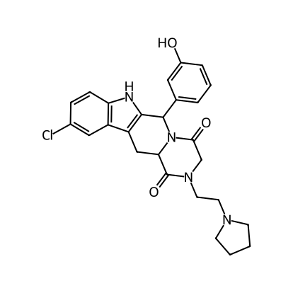 O=C1C2Cc3c([nH]c4ccc(Cl)cc34)C(c3cccc(O)c3)N2C(=O)CN1CCN1CCCC1